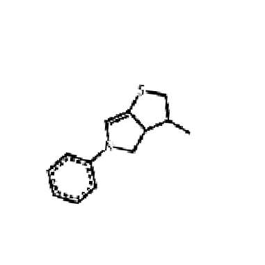 CC1CSC2=CN(c3ccccc3)CC21